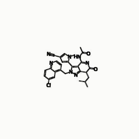 CC(=O)NC1=NC(=O)C(CC(C)C)c2nn(Cc3ccnc4ccc(Cl)cc34)c(-c3cc(C#N)cn3C)c21